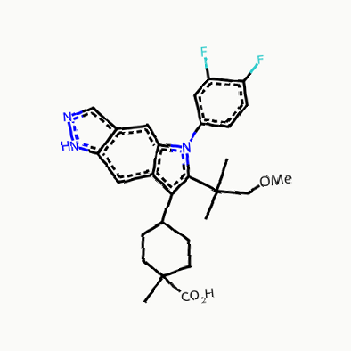 COCC(C)(C)c1c(C2CCC(C)(C(=O)O)CC2)c2cc3[nH]ncc3cc2n1-c1ccc(F)c(F)c1